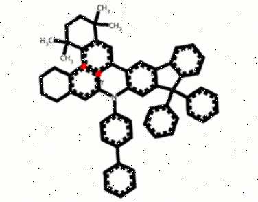 CC(C)c1cc2c(cc1-c1cc3c(cc1N(c1ccc(-c4ccccc4)cc1)c1ccc4c(c1)CCCC4)C(c1ccccc1)(c1ccccc1)c1ccccc1-3)C(C)(C)CCC2(C)C